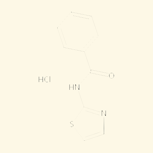 Cl.O=C(Nc1nccs1)c1ccccc1